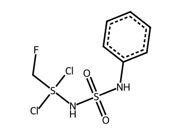 O=S(=O)(Nc1ccccc1)NS(Cl)(Cl)CF